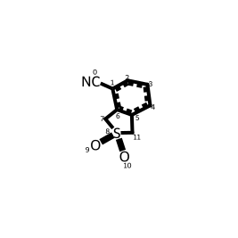 N#Cc1cccc2c1CS(=O)(=O)C2